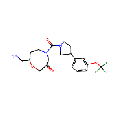 NCC1CCN(C(=O)N2CCC(c3cccc(OC(F)(F)F)c3)C2)CC(=O)CO1